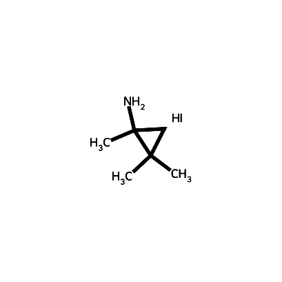 CC1(C)CC1(C)N.I